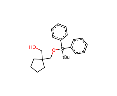 CC(C)(C)[Si](OCC1(CO)CCCC1)(c1ccccc1)c1ccccc1